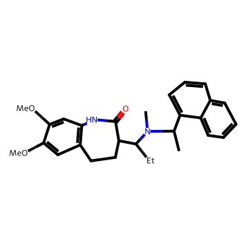 CCC(C1CCc2cc(OC)c(OC)cc2NC1=O)N(C)C(C)c1cccc2ccccc12